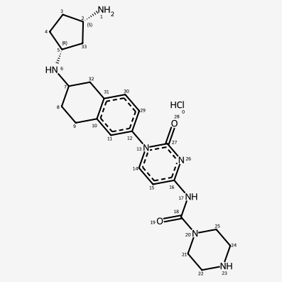 Cl.N[C@H]1CC[C@@H](NC2CCc3cc(-n4ccc(NC(=O)N5CCNCC5)nc4=O)ccc3C2)C1